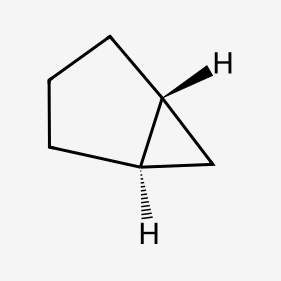 C1C[C@@H]2C[C@H]2C1